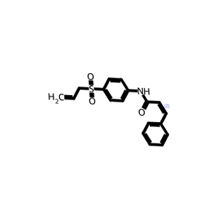 C=CCS(=O)(=O)c1ccc(NC(=O)/C=C\c2ccccc2)cc1